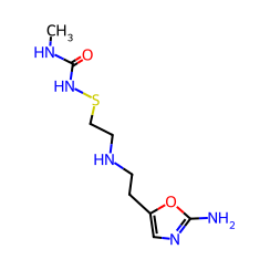 CNC(=O)NSCCNCCc1cnc(N)o1